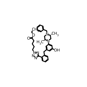 CCOC(=O)CCCCn1nnc(-c2ccccc2Cc2cc(O)cc(N3C[C@@H](C)N(Cc4ccccc4)C[C@@H]3C)c2)n1